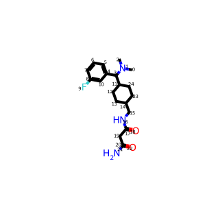 CN(C)C(c1cccc(F)c1)C1CCC(CNC(=O)CC(N)=O)CC1